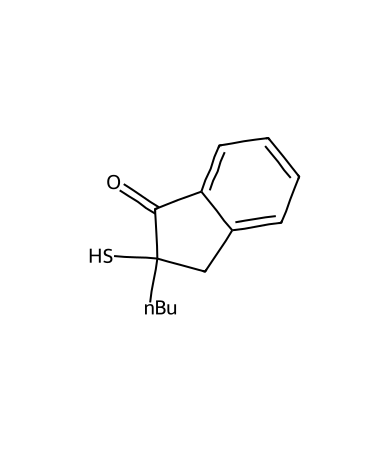 CCCCC1(S)Cc2ccccc2C1=O